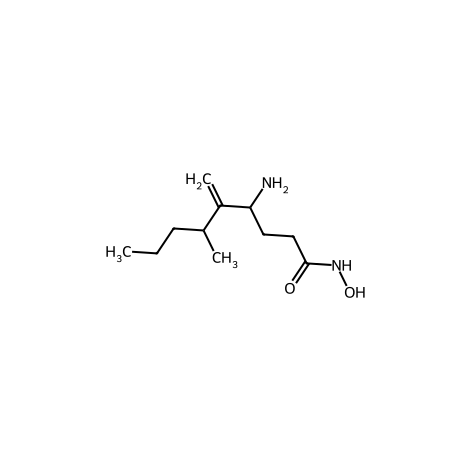 C=C(C(C)CCC)C(N)CCC(=O)NO